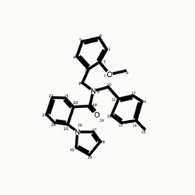 COc1ccccc1CN(Cc1ccc(C)cc1)C(=O)c1ccccc1-n1cccc1